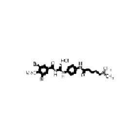 COc1c(Br)cc(C(=O)NC(=S)Nc2ccc(NC(=O)CCCCN(C)C)cc2)cc1Br.Cl